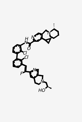 C[C@@H]1CCCCN1Cc1cnc(C(=O)Nc2cccc(-c3cccc(/C=C(\F)c4cc5c(cn4)CN(C[C@@H](C)O)CC5)c3Cl)c2Cl)cc1C1CC1